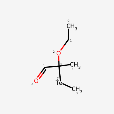 CCOC(C)(C=O)[Te]C